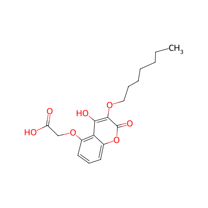 CCCCCCCOc1c(O)c2c(OCC(=O)O)cccc2oc1=O